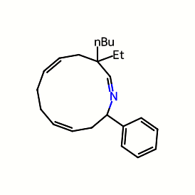 CCCCC1(CC)C=NC(c2ccccc2)CC=CCCC=CC1